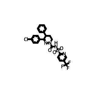 O=C(NS(=O)(=O)c1ccc(C(F)(F)F)cn1)N1CCC(c2ccccc2)C(c2ccc(Cl)cc2)=N1